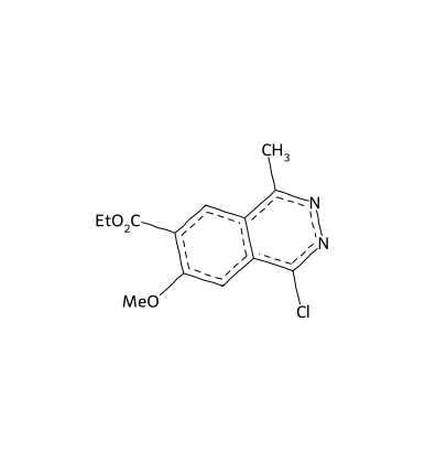 CCOC(=O)c1cc2c(C)nnc(Cl)c2cc1OC